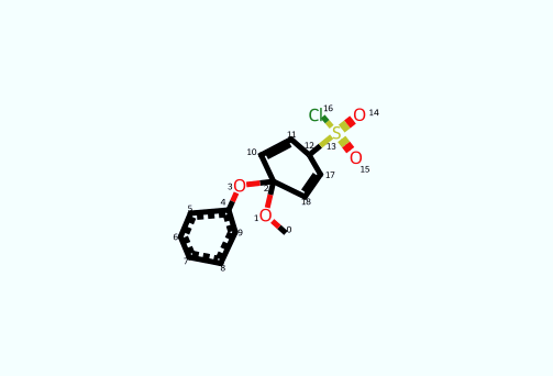 COC1(Oc2ccccc2)C=CC(S(=O)(=O)Cl)C=C1